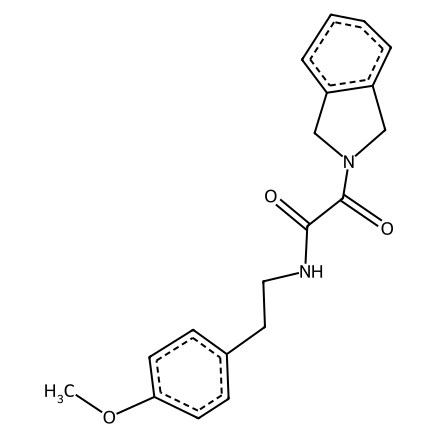 COc1ccc(CCNC(=O)C(=O)N2Cc3ccccc3C2)cc1